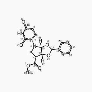 CC(C)(C)OC(=O)[C@H]1CN(n2ccc(=O)[nH]c2=O)[C@@H]2OC(c3ccccc3)O[C@H]12